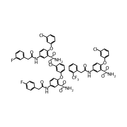 NS(=O)(=O)c1cc(NC(=O)Cc2ccc(F)cc2)ccc1Oc1cccc(Cl)c1.NS(=O)(=O)c1cc(NC(=O)Cc2cccc(F)c2)ccc1Oc1cccc(Cl)c1.NS(=O)(=O)c1cc(NC(=O)Cc2ccccc2C(F)(F)F)ccc1Oc1cccc(Cl)c1